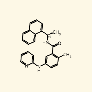 Cc1ccc(Nc2ccccn2)cc1C(=O)N[C@H](C)c1cccc2ccccc12